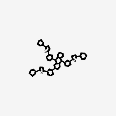 c1ccc(-c2ccc(-c3cccc(-c4ccc5c(-c6cccc(-c7ccc(-c8ccccc8)s7)c6)c6ccccc6c(-c6cccc(-c7ccc(-c8ccccc8)s7)c6)c5c4)c3)s2)cc1